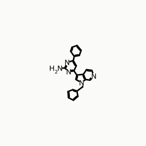 Nc1nc(-c2ccccc2)cc(-c2cn(Cc3ccccc3)c3cnccc23)n1